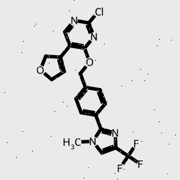 Cn1cc(C(F)(F)F)nc1-c1ccc(COc2nc(Cl)ncc2C2=CCOC2)cc1